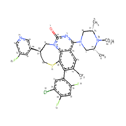 C[C@@H]1CN(c2nc(=O)n3c4c(c(-c5cc(Cl)c(F)cc5F)c(C(F)(F)F)cc24)SC[C@@H](c2cncc(F)c2)C3)C[C@H](C)N1C(=O)O